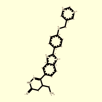 CCC1CC(=O)NN=C1c1ccc2nc(-c3ccc(OCc4cncnc4)cc3)oc2c1